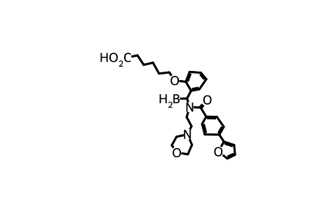 BC(c1ccccc1OCCCCCC(=O)O)N(CCN1CCOCC1)C(=O)c1ccc(-c2ccco2)cc1